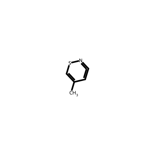 CC1=CSN=C=C1